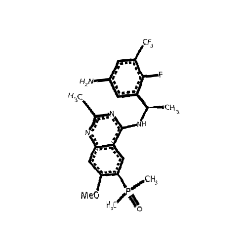 COc1cc2nc(C)nc(N[C@H](C)c3cc(N)cc(C(F)(F)F)c3F)c2cc1P(C)(C)=O